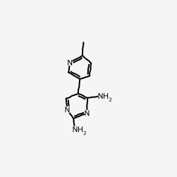 Cc1ccc(-c2cnc(N)nc2N)cn1